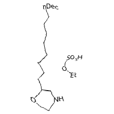 CCCCCCCCCCCCCCCCCCC1CNCCO1.CCOS(=O)(=O)O